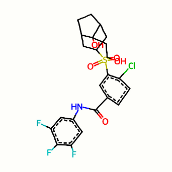 O=C(Nc1cc(F)c(F)c(F)c1)c1ccc(Cl)c(S(=O)(=O)C2CC3CCC(C2)C3(O)CCO)c1